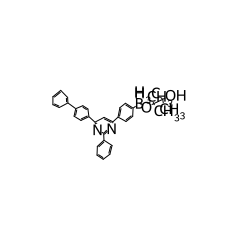 CC(C)(O)C(C)(C)OBc1ccc(-c2cc(-c3ccc(-c4ccccc4)cc3)nc(-c3ccccc3)n2)cc1